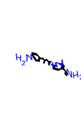 C=C(Cc1ccc(N)cc1)CC1CN(c2ccc(C(=C)N)cn2)C1